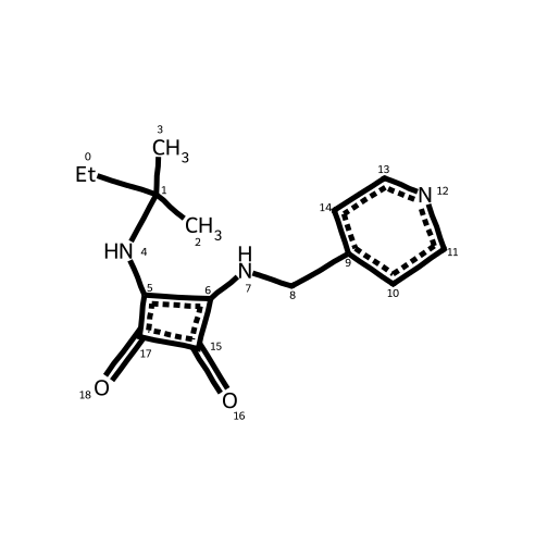 CCC(C)(C)Nc1c(NCc2ccncc2)c(=O)c1=O